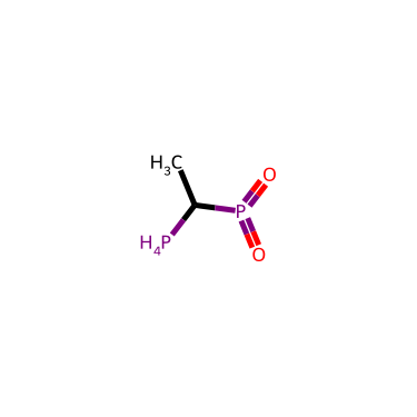 CC([PH4])P(=O)=O